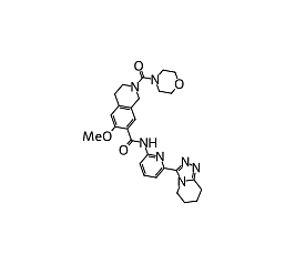 COc1cc2c(cc1C(=O)Nc1cccc(-c3nnc4n3CCCC4)n1)CN(C(=O)N1CCOCC1)CC2